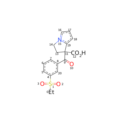 CCS(=O)(=O)c1cccc(C(=O)C2(C(=O)O)CCn3cccc32)c1